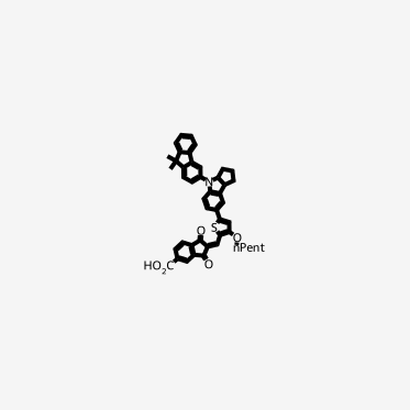 CCCCCOc1cc(-c2ccc3c(c2)C2CCCC2N3c2ccc3c(c2)-c2ccccc2C3(C)C)sc1/C=C1\C(=O)c2ccc(C(=O)O)cc2C1=O